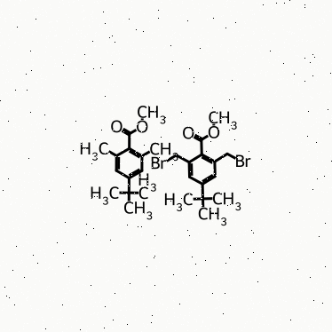 COC(=O)c1c(C)cc(C(C)(C)C)cc1C.COC(=O)c1c(CBr)cc(C(C)(C)C)cc1CBr